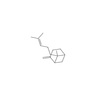 C=C1CCC2CC1C2(C)CCC=C(C)C